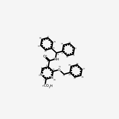 O=C(O)c1ncc(C(=O)NC(c2ccccc2)c2ccccc2)c(OCc2ccccc2)n1